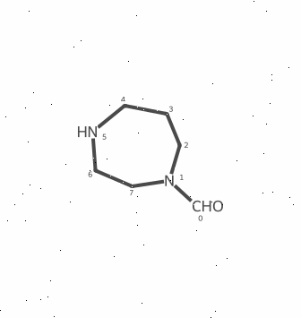 O=CN1CCCNCC1